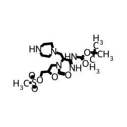 CC(C)(C)OC(=O)NC(=N)C(CN1CCNCC1)N1CC(COS(C)(=O)=O)OC1=O